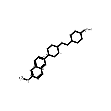 CCCCCC1CCC(CCC2CCC(c3ccc4cc(OC(F)(F)F)ccc4c3)CC2)CC1